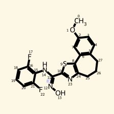 COc1ccc2c(c1)-c1sc(/C(=N\O)Nc3c(F)cccc3F)nc1CCC2